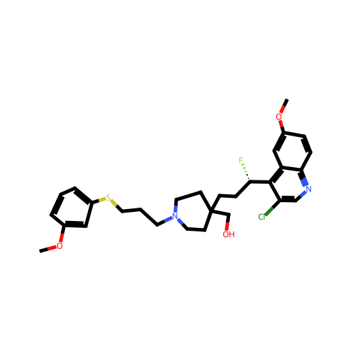 COc1cccc(SCCCN2CCC(CO)(CC[C@H](F)c3c(Cl)cnc4ccc(OC)cc34)CC2)c1